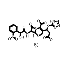 O=C([O-])CC(Sc1nnn[nH]1)C1=C(C(=O)[O-])N2C(=O)C(NC(=O)C(O)c3ccccc3[N+](=O)[O-])[C@@H]2SC1.[K+].[K+]